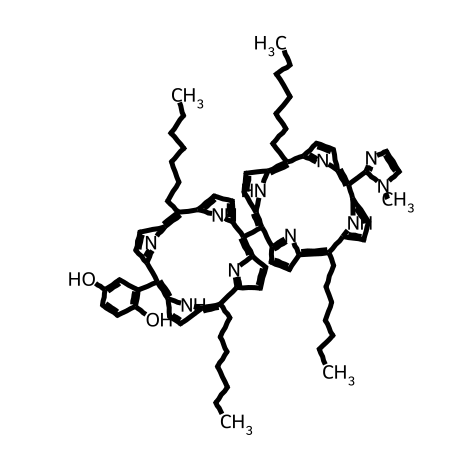 CCCCCCCc1c2nc(c(-c3c4nc(c(CCCCCCC)c5ccc([nH]5)c(-c5nccn5C)c5nc(c(CCCCCCC)c6ccc3[nH]6)C=C5)C=C4)c3ccc([nH]3)c(CCCCCCC)c3nc(c(-c4cc(O)ccc4O)c4ccc1[nH]4)C=C3)C=C2